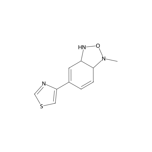 CN1ONC2C=C(c3cscn3)C=CC21